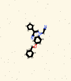 N#CCN(/C=C(\C#N)C1CCCC1)c1ccc(OCc2ccccc2)cc1